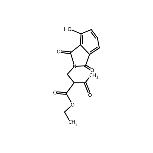 CCOC(=O)C(CN1C(=O)c2cccc(O)c2C1=O)C(C)=O